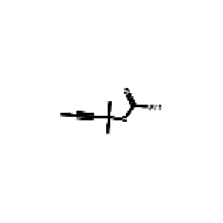 CC#CC(C)(C)OC(=O)OC